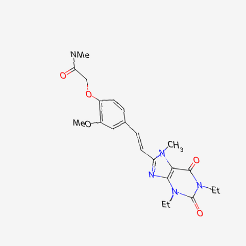 CCn1c(=O)c2c(nc(/C=C/c3ccc(OCC(=O)NC)c(OC)c3)n2C)n(CC)c1=O